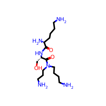 NCCCC[C@H](N)C(=O)N[C@@H](CO)C(=O)N(CCCN)CCCCN